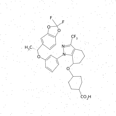 C[C@@H](Oc1cccc(-n2nc(C(F)(F)F)c3c2C(OC2CCC(C(=O)O)CC2)CCC3)c1)c1ccc2c(c1)OC(F)(F)O2